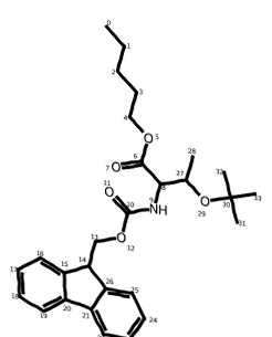 CCCCCOC(=O)C(NC(=O)OCC1c2ccccc2-c2ccccc21)C(C)OC(C)(C)C